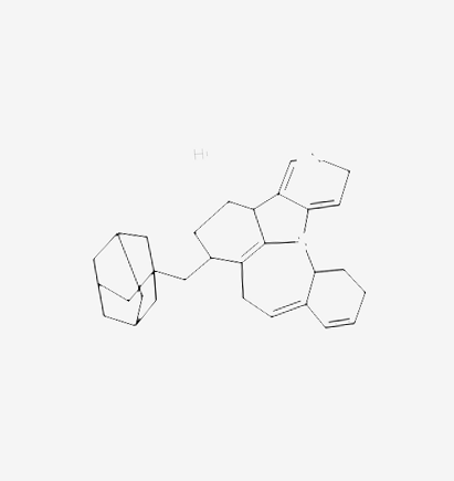 C1=CC2=CCC3=C4C(CCC3CC35CC6CC(CC(C6)C3)C5)C3=CNCC=C3N4C2CC1.Cl